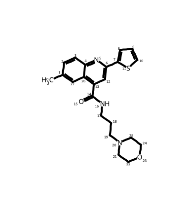 Cc1ccc2nc(-c3cccs3)cc(C(=O)NCCCN3CCOCC3)c2c1